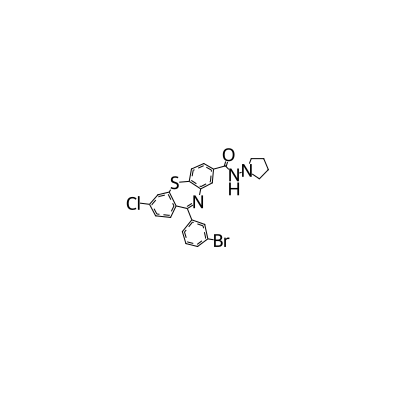 O=C(NN1CCCC1)c1ccc2c(c1)N=C(c1cccc(Br)c1)c1ccc(Cl)cc1S2